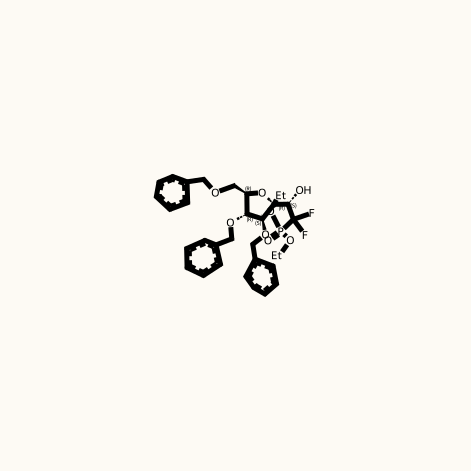 CCOP(=O)(OCC)C(F)(F)[C@@H](O)[C@H]1O[C@H](COCc2ccccc2)[C@@H](OCc2ccccc2)[C@@H]1OCc1ccccc1